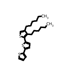 CCCCCCc1csc(-c2ccc(-c3cccs3)s2)c1CCCCCC